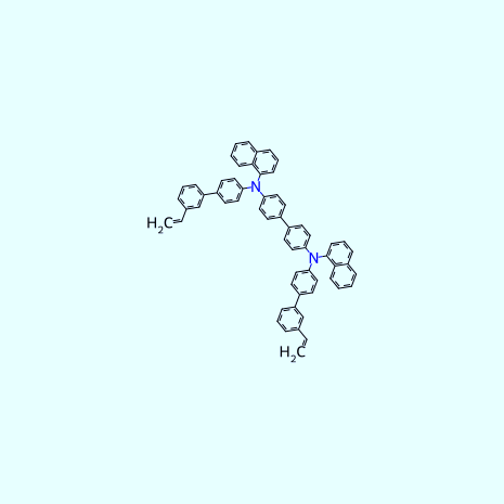 C=Cc1cccc(-c2ccc(N(c3ccc(-c4ccc(N(c5ccc(-c6cccc(C=C)c6)cc5)c5cccc6ccccc56)cc4)cc3)c3cccc4ccccc34)cc2)c1